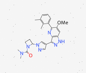 COc1cc2[nH]nc(-c3cnn(C4CCN4C(=O)N(C)C)c3)c2nc1-c1cccc(C)c1C